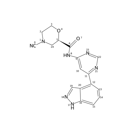 N#CN1CCO[C@@H](C(=O)Nc2cc(-c3cccc4[nH]ncc34)ncn2)C1